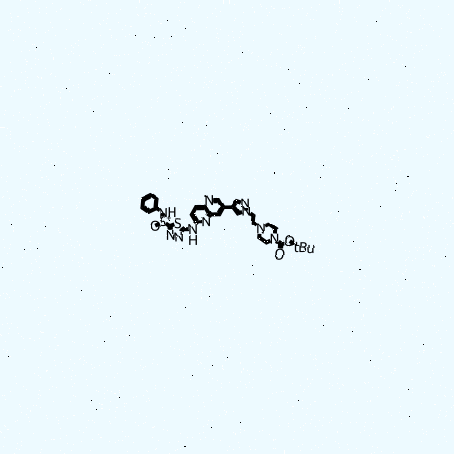 CC(C)(C)OC(=O)N1CCN(CCn2cc(-c3cnc4ccc(Nc5nnc([S+]([O-])Nc6ccccc6)s5)nc4c3)cn2)CC1